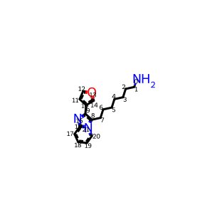 NCCCCCCCc1c(-c2ccoc2)nc2ccccn12